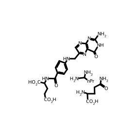 CCCC(N)N.NC(=O)CCC(N)C(=O)O.Nc1nc2ncc(CNc3ccc(C(=O)NC(CCC(=O)O)C(=O)O)cc3)nc2c(=O)[nH]1